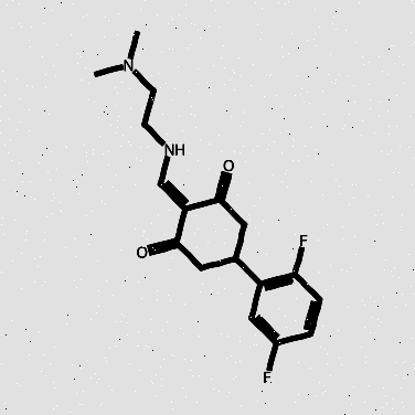 CN(C)CCNC=C1C(=O)CC(c2cc(F)ccc2F)CC1=O